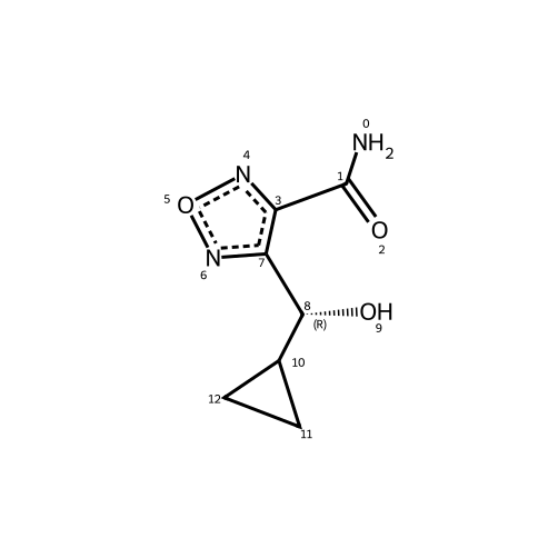 NC(=O)c1nonc1[C@H](O)C1CC1